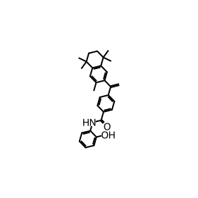 C=C(c1ccc(C(=O)Nc2ccccc2O)cc1)c1cc2c(cc1C)C(C)(C)CCC2(C)C